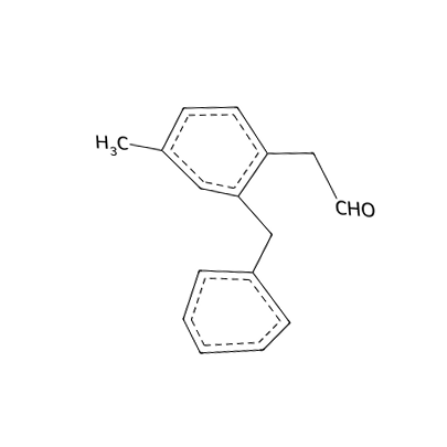 Cc1ccc(CC=O)c(Cc2ccccc2)c1